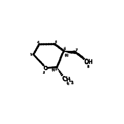 C[C@@H]1OCCC[C@H]1CO